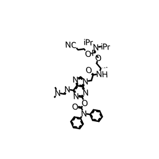 CC(C)N(C(C)C)P(OCCC#N)OC[C@H](C)NC(=O)Cn1cnc2c(/N=C/N(C)C)nc(OC(=O)N(c3ccccc3)c3ccccc3)nc21